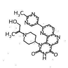 C=C(CO)N1CCC(n2c(=O)[nH]c(=O)c3cnc4ccc(-c5cnc(C)nc5)nc4c32)CC1